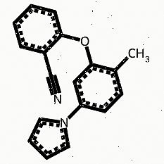 Cc1ccc(-n2cccc2)cc1Oc1ccccc1C#N